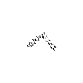 CN(C)C(=S)[S-].CN(C)C(=S)[S-].CN(C)C(=S)[S-].CN(C)C(=S)[S-].CN(C)C(=S)[S-].CN(C)C(=S)[S-].CN(C)C(=S)[S-].CN(C)C(=S)[S-].[Mo+6].[Zn+2]